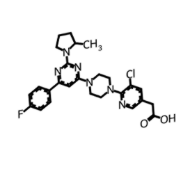 CC1CCCN1c1nc(-c2ccc(F)cc2)cc(N2CCN(c3ncc(CC(=O)O)cc3Cl)CC2)n1